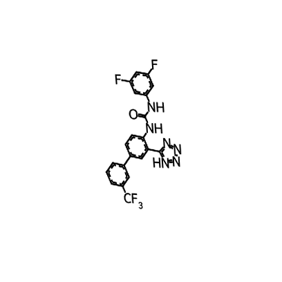 O=C(Nc1cc(F)cc(F)c1)Nc1ccc(-c2cccc(C(F)(F)F)c2)cc1-c1nnn[nH]1